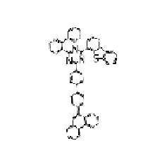 c1ccc(-c2ccccc2-c2nc(-c3ccc(-c4ccc(-c5cc6ccccc6c6ccccc56)cc4)cc3)nc(-c3cccc4c3sc3ccccc34)n2)cc1